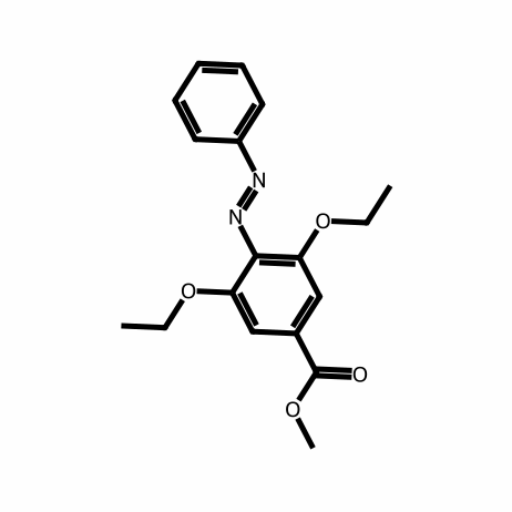 CCOc1cc(C(=O)OC)cc(OCC)c1/N=N/c1ccccc1